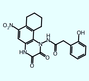 O=C(Cc1ccccc1O)Nn1c(=O)c(=O)[nH]c2cc([N+](=O)[O-])c3c(c21)CCCC3